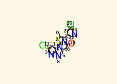 Cc1sc2nc(CN(C)c3ccc(Cl)cn3)cc(=O)n2c1-c1cncc(Cl)c1